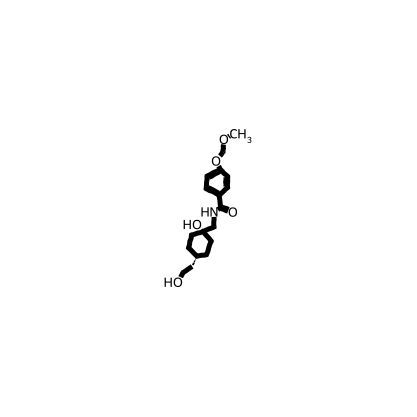 COCOc1ccc(C(=O)NC[C@]2(O)CC[C@H](CCO)CC2)cc1